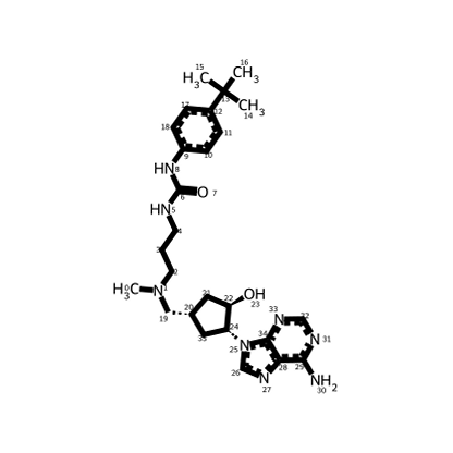 CN(CCCNC(=O)Nc1ccc(C(C)(C)C)cc1)C[C@@H]1C[C@@H](O)[C@H](n2cnc3c(N)ncnc32)C1